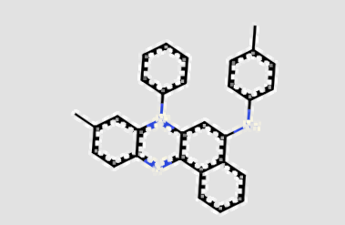 Cc1ccc(Nc2cc3c(nc4ccc(C)cc4[n+]3-c3ccccc3)c3ccccc23)cc1